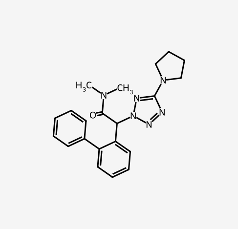 CN(C)C(=O)C(c1ccccc1-c1ccccc1)n1nnc(N2CCCC2)n1